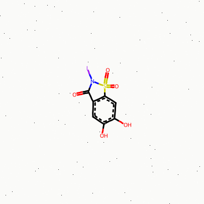 O=C1c2cc(O)c(O)cc2S(=O)(=O)N1I